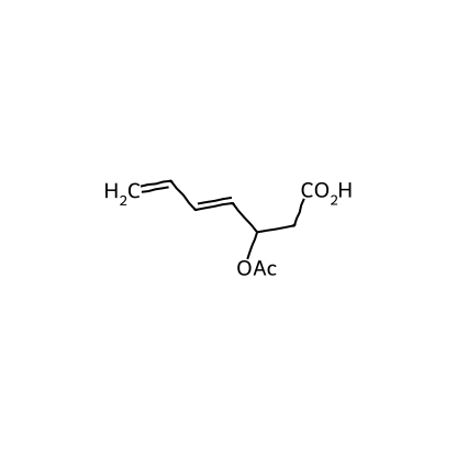 C=CC=CC(CC(=O)O)OC(C)=O